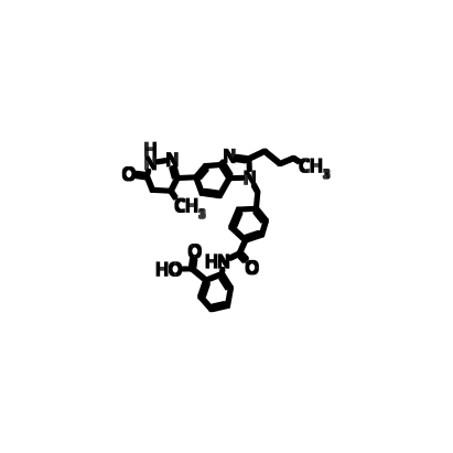 CCCCc1nc2cc(C3=NNC(=O)CC3C)ccc2n1Cc1ccc(C(=O)Nc2ccccc2C(=O)O)cc1